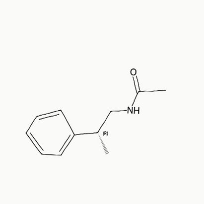 CC(=O)NC[C@H](C)c1ccccc1